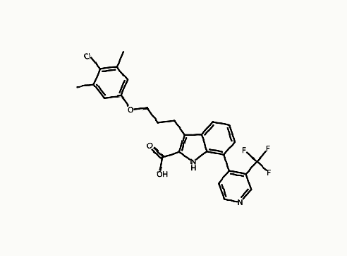 Cc1cc(OCCCc2c(C(=O)O)[nH]c3c(-c4ccncc4C(F)(F)F)cccc23)cc(C)c1Cl